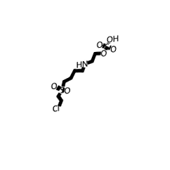 O=S(=O)(CCCl)CCCCNCCOS(=O)(=O)O